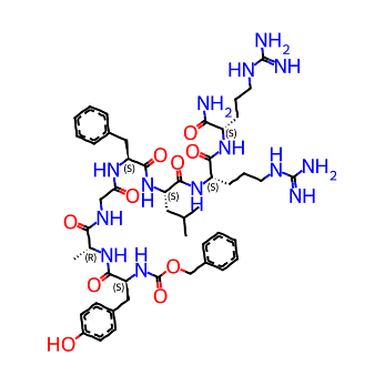 CC(C)C[C@H](NC(=O)[C@H](Cc1ccccc1)NC(=O)CNC(=O)[C@@H](C)NC(=O)[C@H](Cc1ccc(O)cc1)NC(=O)OCc1ccccc1)C(=O)N[C@@H](CCCNC(=N)N)C(=O)N[C@@H](CCCNC(=N)N)C(N)=O